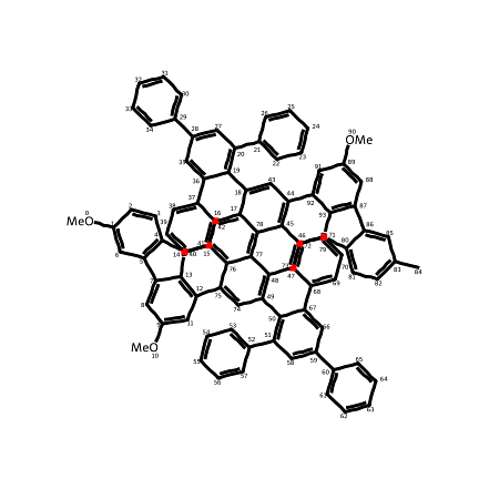 COc1ccc2c(c1)-c1cc(OC)cc3c1B2c1cc2c(-c4c(-c5ccccc5)cc(-c5ccccc5)cc4-c4ccccc4)cc4c5c(cc6c(-c7c(-c8ccccc8)cc(-c8ccccc8)cc7-c7ccccc7)cc-3c1c6c25)B1c2ccc(C)cc2-c2cc(OC)cc-4c21